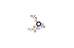 C#N.CCOc1cccc(NS(N)(=O)=O)c1